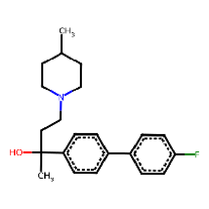 CC1CCN(CCC(C)(O)c2ccc(-c3ccc(F)cc3)cc2)CC1